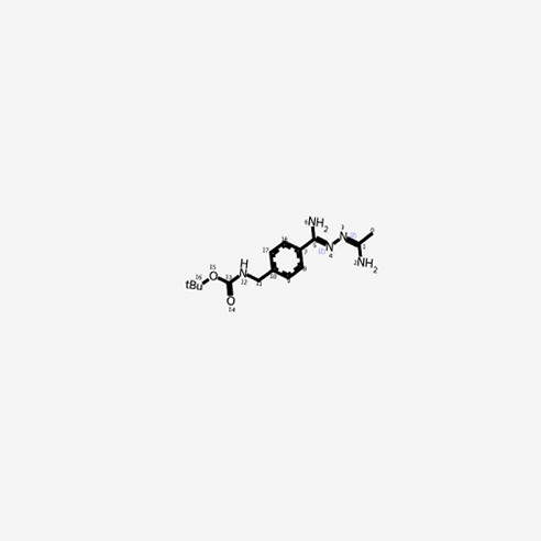 C/C(N)=N/N=C(\N)c1ccc(CNC(=O)OC(C)(C)C)cc1